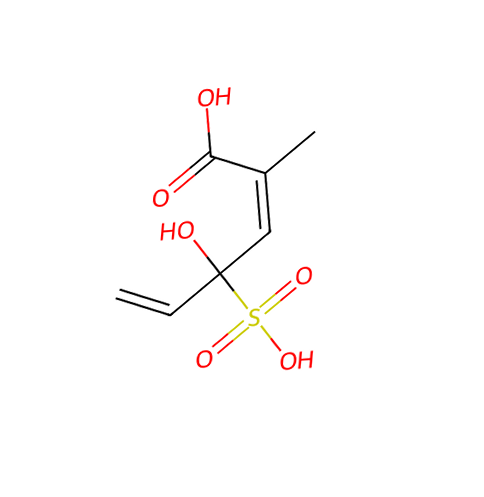 C=CC(O)(C=C(C)C(=O)O)S(=O)(=O)O